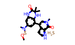 COSN(C)c1cc2c(c(-c3cn(C)c(=O)c4[nH]ccc34)c1)NC(C)(C)C(=O)N2.S